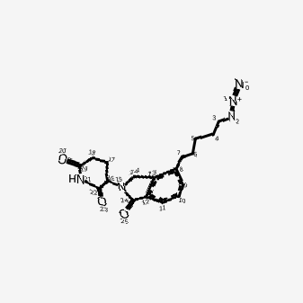 [N-]=[N+]=NCCCCCc1cccc2c1CN(C1CCC(=O)NC1=O)C2=O